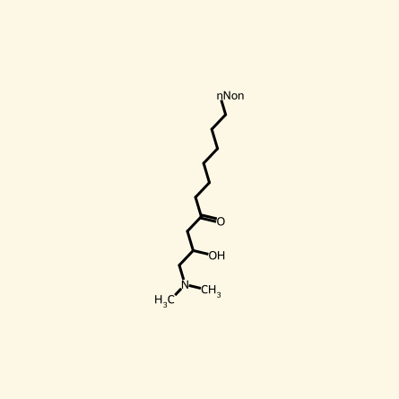 CCCCCCCCCCCCCCCC(=O)CC(O)CN(C)C